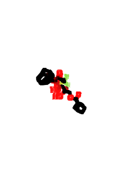 O=C(OCC(O)COC(=O)C12CC3CC(C1)C(OC(=O)C(F)(F)S(=O)(=O)O)C(C3)C2)C1CC2CCC1C2